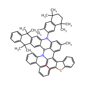 Cc1cc2c3c(c1)N(c1cc4c(cc1C)C(C)(C)CCC4(C)C)c1cc4c(cc1B3N(c1ccccc1-c1ccccc1)c1ccc3sc5ccccc5c3c1-2)C(C)(C)c1ccccc1C4(C)C